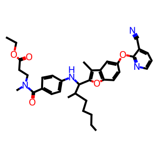 CCCCCC(C)C(Nc1ccc(C(=O)N(C)CCC(=O)OCC)cc1)c1oc2ccc(Oc3ncccc3C#N)cc2c1C